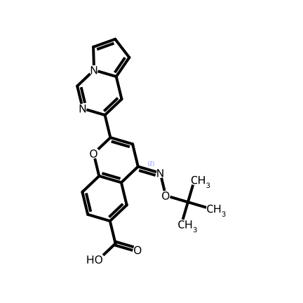 CC(C)(C)O/N=c1/cc(-c2cc3cccn3cn2)oc2ccc(C(=O)O)cc12